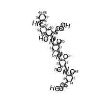 COc1cc(N=Nc2cc(SOOO)ccc2OC)c(OC)cc1N=Nc1cc(OC)c(N=Nc2c(SOOO)cc3cc(Nc4ccccc4)ccc3c2O)cc1C